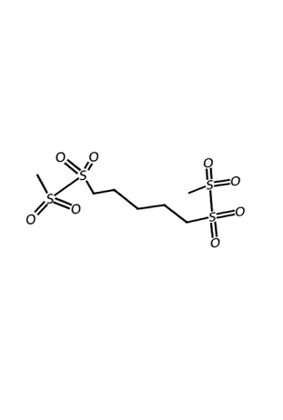 CS(=O)(=O)S(=O)(=O)CCCCCS(=O)(=O)S(C)(=O)=O